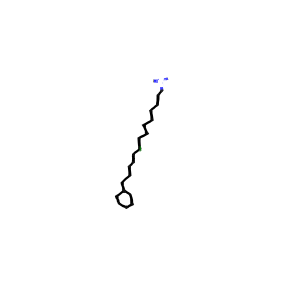 CN(C)CCCCCCCCCCCCCCC1CCCCC1.Cl